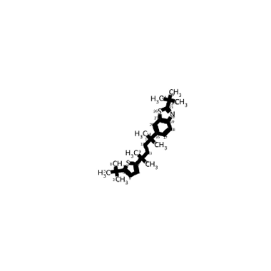 CC(C)(C)c1ccc(C(C)(C)CCC(C)(C)c2ccc3nc(C(C)(C)C)sc3c2)s1